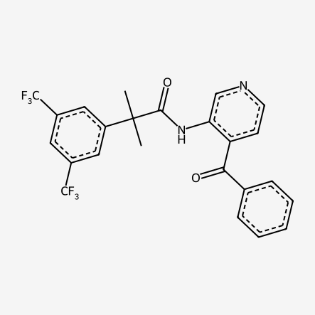 CC(C)(C(=O)Nc1cnccc1C(=O)c1ccccc1)c1cc(C(F)(F)F)cc(C(F)(F)F)c1